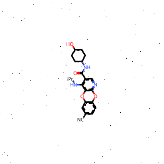 CC(C)Nc1c(C(=O)NC2CCC(O)CC2)cnc2c1Oc1cc(C#N)ccc1O2